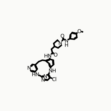 COc1ccc(NC(=O)N2CCC(CC(=O)Nc3ccc4cc3CCc3cncc(c3)Nc3ncc(Cl)c(n3)N4)CC2)cc1